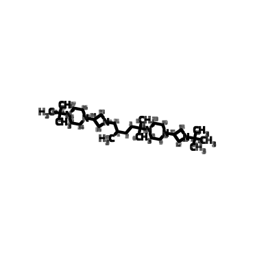 CC(CCC(C)(C)N1CCN(C2CN(C(C)(C)C)C2)CC1)CN1CC(N2CCN(C(C)(C)C)CC2)C1